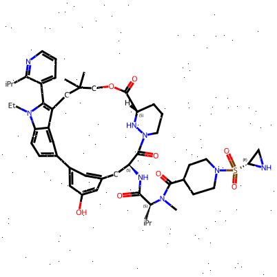 CCn1c(-c2cccnc2C(C)C)c2c3cc(ccc31)-c1cc(O)cc(c1)C[C@H](NC(=O)[C@H](C(C)C)N(C)C(=O)C1CCN(S(=O)(=O)[C@@H]3CN3)CC1)C(=O)N1CCC[C@H](N1)C(=O)OCC(C)(C)C2